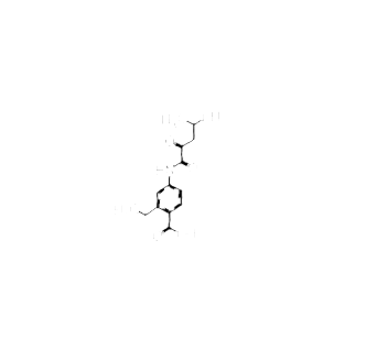 CCc1cc(NC(=O)C(=O)CC(C)C)ccc1C(=O)O